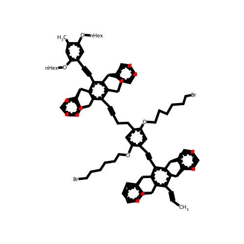 CC#Cc1c2c(c(C#Cc3cc(OCCCCCCBr)c(CCC#Cc4c5c(c(C#Cc6cc(OCCCCCC)c(C)cc6OCCCCCC)c6c4C4c7ccccc7C6c6ccccc64)C4c6ccccc6C5c5ccccc54)cc3OCCCCCCBr)c3c1C1c4ccccc4C3c3ccccc31)C1c3ccccc3C2c2ccccc21